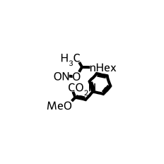 CCCCCCC(C)ON=O.COC(=Cc1ccccc1)C(=O)O